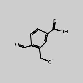 O=Cc1ccc(C(=O)O)cc1CCl